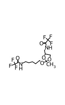 CC1(OCCCCCNC(=O)C(F)(F)F)OCC(CNC(=O)C(F)(F)F)O1